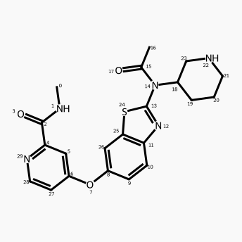 CNC(=O)c1cc(Oc2ccc3nc(N(C(C)=O)C4CCCNC4)sc3c2)ccn1